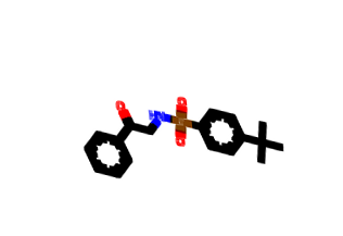 CC(C)(C)c1ccc(S(=O)(=O)NCC(=O)c2ccccc2)cc1